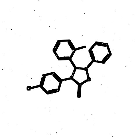 Cc1ccccc1C1N(c2ccccc2)OC(=O)N1c1ccc(Cl)cc1